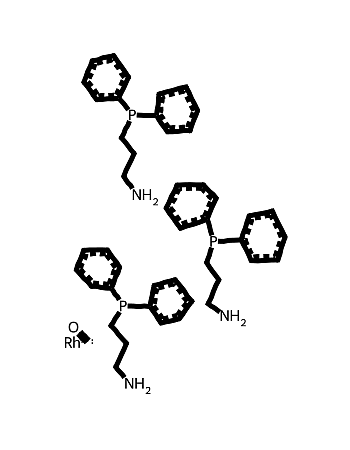 NCCCP(c1ccccc1)c1ccccc1.NCCCP(c1ccccc1)c1ccccc1.NCCCP(c1ccccc1)c1ccccc1.[C]=O.[Rh]